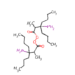 CCCCC(P)(CCCC)C(C)C(=O)OOC(=O)C(C)C(P)(CCCC)CCCC